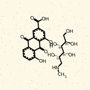 CNC[C@H](O)[C@@H](O)[C@H](O)[C@H](O)CO.O=C(O)c1cc(O)c2c(c1)C(=O)c1cccc(O)c1C2=O